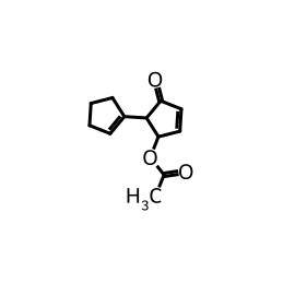 CC(=O)OC1C=CC(=O)C1C1=CCCC1